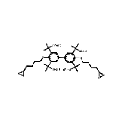 CCCCCC(C)(C)c1cc(-c2cc(C(C)(C)CCCCC)c(OCCCCC3CO3)c(C(C)(C)CCCCC)c2)cc(C(C)(C)CCCCC)c1OCCCCC1CO1